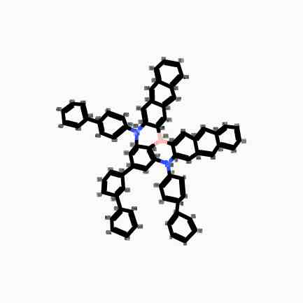 c1ccc(-c2ccc(N3c4cc5cc6ccccc6cc5cc4B4c5cc6cc7ccccc7cc6cc5N(c5ccc(-c6ccccc6)cc5)c5cc(-c6cccc(-c7ccccc7)c6)cc3c54)cc2)cc1